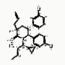 C=CC[C@@]1(C)C[C@H](c2cccc(Cl)c2)C(c2ccc(Cl)cc2)N([C@@H](C2CC2)[C@@H](O)CC)C1=O